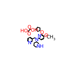 COc1ccc(N(Cc2cccnc2)C2CCCNC2)nc1OC1CCCC1.O=C(O)C(=O)O